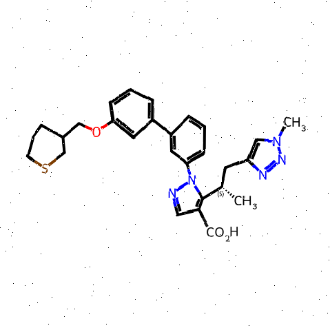 C[C@@H](Cc1cn(C)nn1)c1c(C(=O)O)cnn1-c1cccc(-c2cccc(OCC3CCCSC3)c2)c1